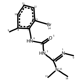 CN=C(NC(=O)Nc1c(C)cccc1Br)N(C)C